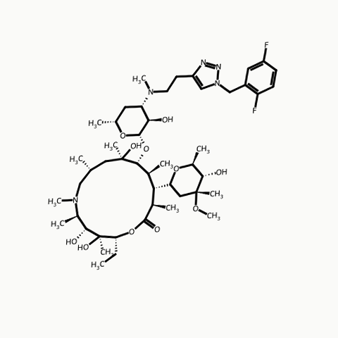 CC[C@H]1OC(=O)[C@H](C)[C@@H](C2C[C@@](C)(OC)[C@@H](O)[C@H](C)O2)[C@H](C)[C@@H](O[C@@H]2O[C@H](C)C[C@H](N(C)CCc3cn(Cc4cc(F)ccc4F)nn3)[C@H]2O)[C@](C)(O)C[C@@H](C)CN(C)[C@H](C)[C@@H](O)[C@]1(C)O